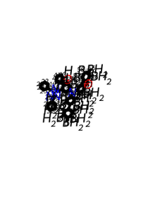 Bc1c(B)c(B)c(-c2c(B)c(B)c(N(c3cc(-c4nc(-c5ccccc5)nc(-c5ccccc5)n4)c4c(c3)oc3ccccc34)c3c(B)c(B)c4oc5c(B)c(B)c(B)c(B)c5c4c3B)c(B)c2B)c(B)c1B